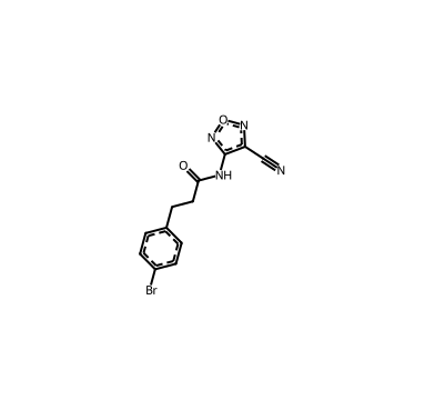 N#Cc1nonc1NC(=O)CCc1ccc(Br)cc1